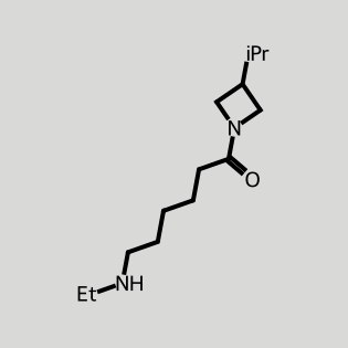 CCNCCCCCC(=O)N1CC(C(C)C)C1